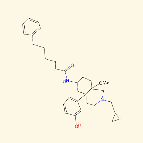 COC12CCC(NC(=O)CCCCCc3ccccc3)CC1(c1cccc(O)c1)CCN(CC1CC1)C2